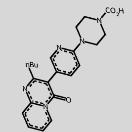 CCCCc1nc2ccccn2c(=O)c1-c1ccc(N2CCN(C(=O)O)CC2)nc1